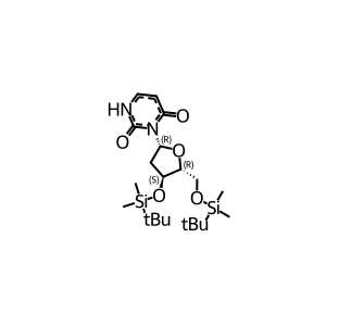 CC(C)(C)[Si](C)(C)OC[C@H]1O[C@@H](n2c(=O)cc[nH]c2=O)C[C@@H]1O[Si](C)(C)C(C)(C)C